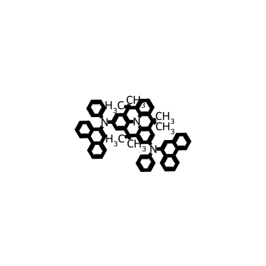 CC1(C)c2cccc3c2N2c4c1cc(N(c1ccccc1)c1cc5ccccc5c5ccccc15)cc4C(C)(C)c1cc(N(c4ccccc4)c4cc5ccccc5c5ccccc45)cc(c12)C3(C)C